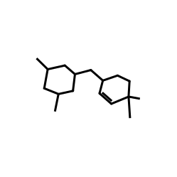 CC1CC(C)CC(CC2C=CC(C)(C)CC2)C1